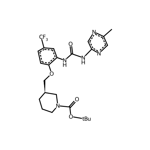 Cc1cnc(NC(=O)Nc2cc(C(F)(F)F)ccc2OC[C@@H]2CCCN(C(=O)OC(C)(C)C)C2)cn1